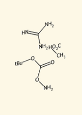 CC(=O)O.CC(C)(C)OC(=O)ON.N=C(N)N